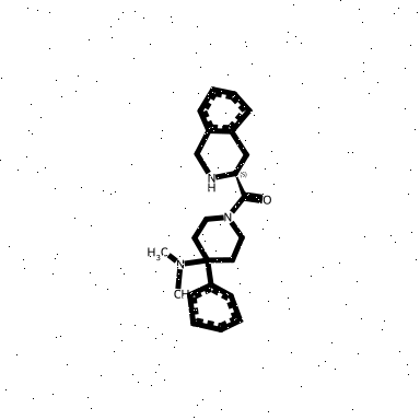 CN(C)C1(c2ccccc2)CCN(C(=O)[C@@H]2Cc3ccccc3CN2)CC1